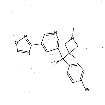 CC(C)c1ccc([C@](O)(c2cncc(-c3ncon3)c2)C2(C)CN(C)C2)cc1